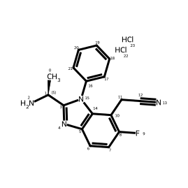 C[C@H](N)c1nc2ccc(F)c(CC#N)c2n1-c1ccccc1.Cl.Cl